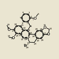 COc1ccccc1Cc1c2[n+](cc3c(OC)c(OC)ccc13)CCc1cc3c(cc1-2)OCO3.[Br-]